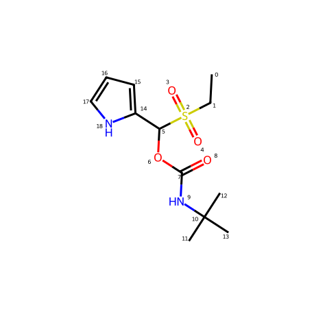 CCS(=O)(=O)C(OC(=O)NC(C)(C)C)c1ccc[nH]1